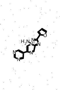 N[N+]12C=C(c3cncnc3)N=CC1=NC(c1ccco1)=N2